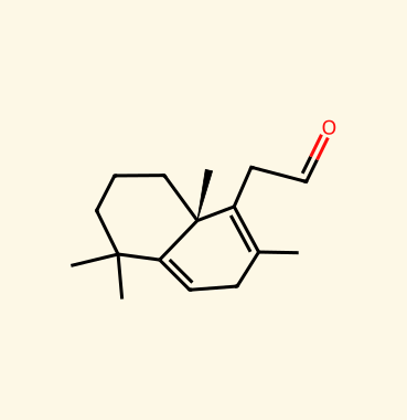 CC1=C(CC=O)[C@@]2(C)CCCC(C)(C)C2=CC1